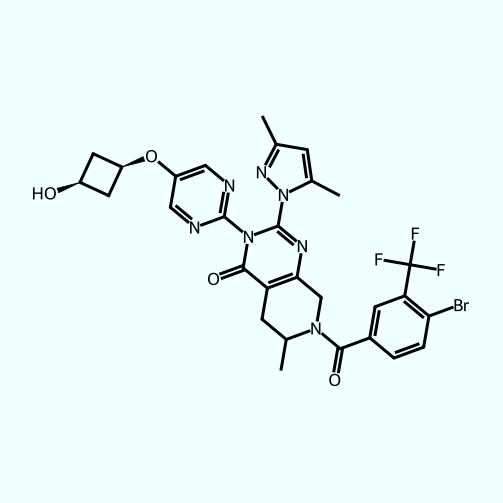 Cc1cc(C)n(-c2nc3c(c(=O)n2-c2ncc(O[C@H]4C[C@@H](O)C4)cn2)CC(C)N(C(=O)c2ccc(Br)c(C(F)(F)F)c2)C3)n1